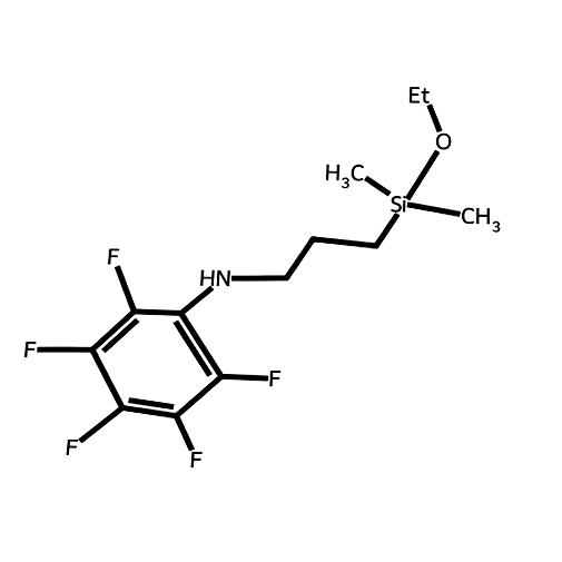 CCO[Si](C)(C)CCCNc1c(F)c(F)c(F)c(F)c1F